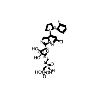 O=P(O)(O)CP(=O)(O)OC[C@H]1O[C@@H](c2ncc3c(N4CCC[C@H]4c4ccccc4F)cc(Cl)nn23)[C@H](O)[C@@H]1O